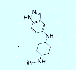 CC(C)N[C@H]1CC[C@H](Nc2ccc3[nH]ncc3c2)CC1